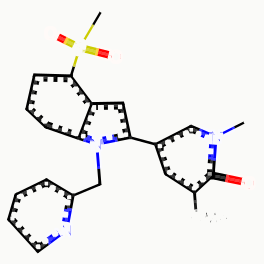 COc1cc(-c2cc3c(S(C)(=O)=O)cccc3n2Cc2ccccn2)cn(C)c1=O